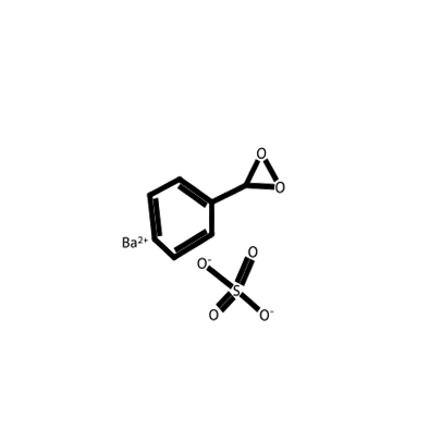 O=S(=O)([O-])[O-].[Ba+2].c1ccc(C2OO2)cc1